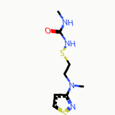 CNC(=O)NSCCN(C)c1ccsn1